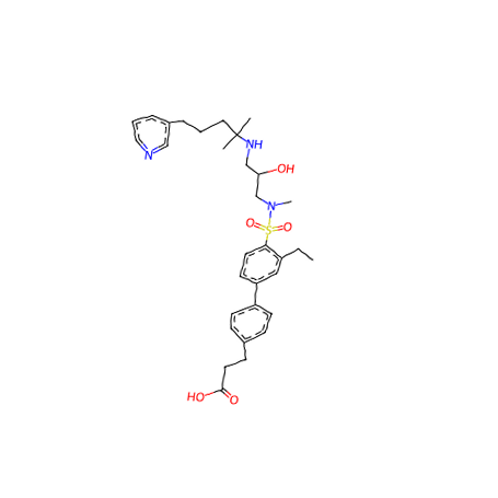 CCc1cc(-c2ccc(CCC(=O)O)cc2)ccc1S(=O)(=O)N(C)CC(O)CNC(C)(C)CCCc1cccnc1